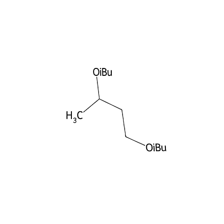 CC(C)COCCC(C)OCC(C)C